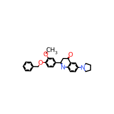 COc1cc(C2=Nc3ccc(N4CCCC4)cc3C(=O)C2)ccc1OCc1ccccc1